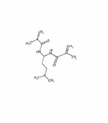 C=C(C)C(=O)NC(CCN(C)C)NC(=O)C(=C)C